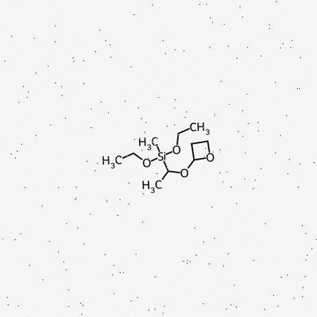 CCO[Si](C)(OCC)C(C)OC1CCO1